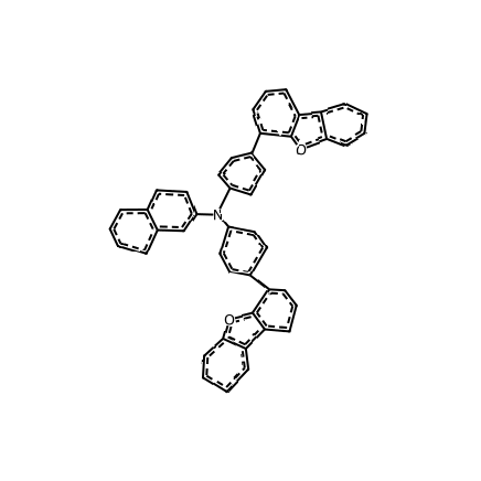 c1ccc2cc(N(c3ccc(-c4cccc5c4oc4ccccc45)cc3)c3ccc(-c4cccc5c4oc4ccccc45)cc3)ccc2c1